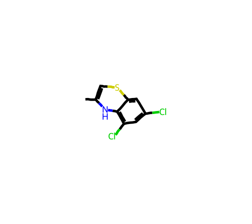 CC1=CSc2cc(Cl)cc(Cl)c2N1